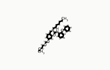 CCCCCCCN(Cc1ccc(OCOCCOC)cc1)C(=O)Nc1ccccc1Oc1ccccc1